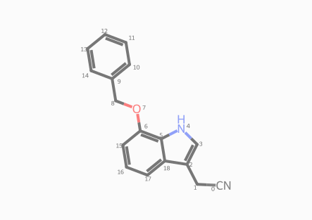 N#CCc1c[nH]c2c(OCc3ccccc3)cccc12